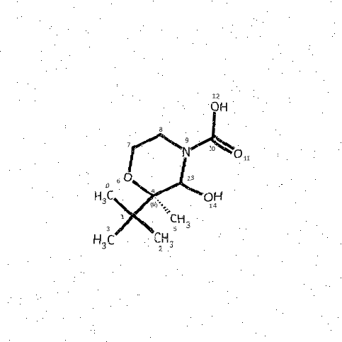 CC(C)(C)[C@@]1(C)OCCN(C(=O)O)C1O